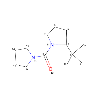 CC(C)(C)C1CCCN1C(=O)N1CCCC1